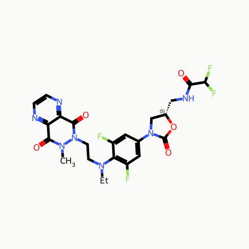 CCN(CCn1c(=O)c2nccnc2c(=O)n1C)c1c(F)cc(N2C[C@H](CNC(=O)C(F)F)OC2=O)cc1F